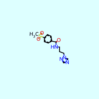 CS(=O)(=O)c1ccc(C(=O)NCCCn2cncn2)cc1